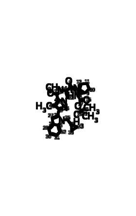 COc1nc(C(=O)N2CC3CCC2[C@@H]3NC(=O)OC(C)(C)C)cn2nc(-c3cc4ccccc4n3CC3CC3)c(C)c12